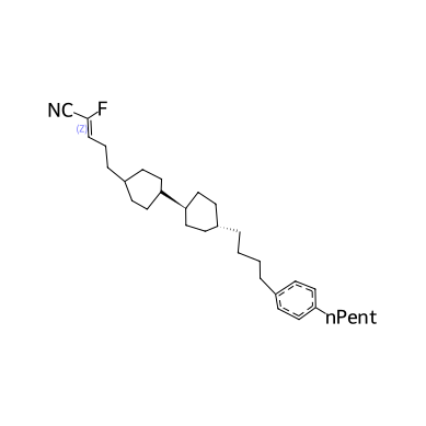 CCCCCc1ccc(CCCC[C@H]2CC[C@H](C3CCC(CC/C=C(\F)C#N)CC3)CC2)cc1